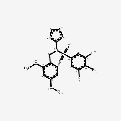 COc1ccc(CN(c2ncns2)S(=O)(=O)c2cc(F)c(F)c(F)c2)c(OC)c1